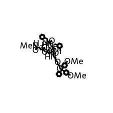 CNC(=O)CCC(=O)O[C@@H]1C[C@@H](C(=O)NCCOCCOC(c2ccccc2)(c2ccc(OC)cc2)c2ccc(OC)cc2)N(C(=O)[C@H](Cc2cccc(I)c2)NC(=O)[C@@H](N)Cc2ccccc2)C1